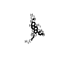 CCCCC(=O)O[C@H]1[C@H]2O[C@]23[C@@H]2CC[C@@H]4C[C@@H](OC(C)=O)CC[C@]4(C)[C@H]2CC[C@]3(C)[C@H]1c1ccc(=O)oc1